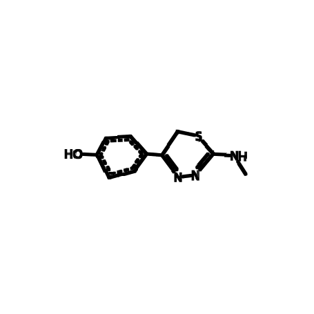 CNC1=NN=C(c2ccc(O)cc2)CS1